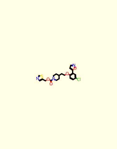 O=C(OCc1cncs1)N1CCC(CCOc2ccc(Cl)cc2-c2ccno2)CC1